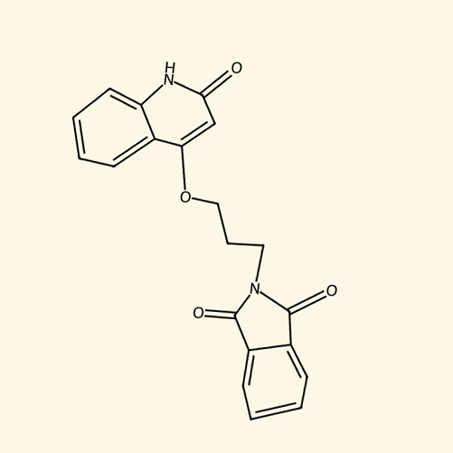 O=C1c2ccccc2C(=O)N1CCCOc1cc(=O)[nH]c2ccccc12